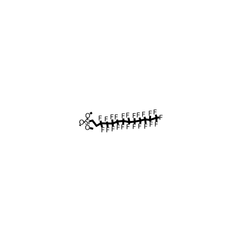 CO[Si](CCC(F)(F)C(F)(F)C(F)(F)C(F)(F)C(F)(F)C(F)(F)C(F)(F)C(F)(F)C(F)(F)C(F)(F)C(F)(F)F)(OC)OC